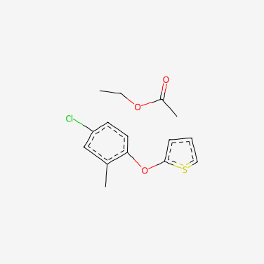 CCOC(C)=O.Cc1cc(Cl)ccc1Oc1cccs1